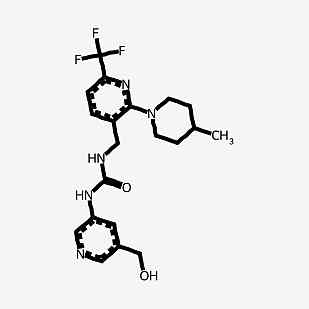 CC1CCN(c2nc(C(F)(F)F)ccc2CNC(=O)Nc2cncc(CO)c2)CC1